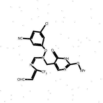 CCCOc1ncc(CN(/C=N\C(=C/C=O)C(F)(F)F)Oc2cc(Cl)cc(C#N)c2)c(=O)[nH]1